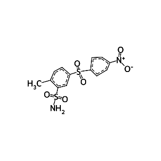 Cc1ccc(S(=O)(=O)c2ccc([N+](=O)[O-])cc2)cc1S(N)(=O)=O